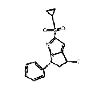 O=S(=O)(c1cc2n(n1)[C@H](c1ccccc1)C[C@@H]2F)C1CC1